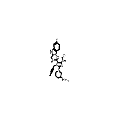 CC#CCn1c(N2CCCC(N)C2)nc(N(C)C=O)c1C(=O)N(C)Cc1nc2cc(F)ccc2s1